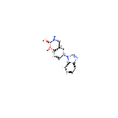 O=C1NCc2cc(-n3cnc4ccccc43)ccc2O1